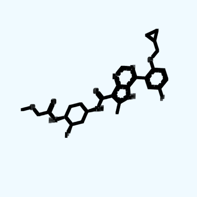 COCC(=O)N[C@H]1CC[C@@H](NC(=O)c2c(C)[nH]c3c(-c4cc(F)ccc4OCC4CC4)ncnc23)C[C@H]1F